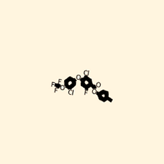 Cc1ccc(OC(=O)c2cc(Cl)c(Oc3ccc(OC(F)(F)F)c(Cl)c3)cc2F)cc1